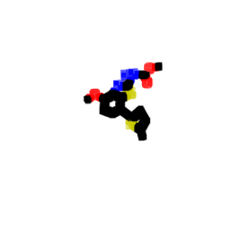 COC(=O)Nc1nc2c(OC)ccc(-c3ccc(C)s3)c2s1